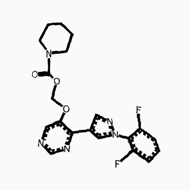 O=C(OCOc1cncnc1-c1cnn(-c2c(F)cccc2F)c1)N1CCCCC1